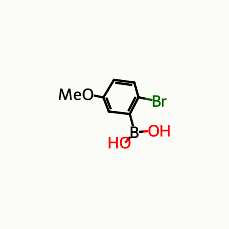 COc1ccc(Br)c(B(O)O)c1